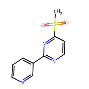 CS(=O)(=O)c1ccnc(-c2cccnc2)n1